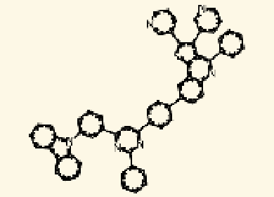 c1ccc(-c2nc(-c3ccc(-c4ccc5nc(-c6ccccc6)c6c(-c7cccnc7)c(-c7cccnc7)sc6c5c4)cc3)cc(-c3cccc(-n4c5ccccc5c5ccccc54)c3)n2)cc1